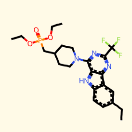 CCOP(=O)(CC1CCN(c2nc(C(F)(F)F)nc3c2[nH]c2ccc(CC)cc23)CC1)OCC